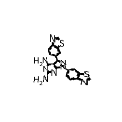 Nc1nc(N)c2c(-c3ccc4ncsc4c3)nn(-c3ccc4ncsc4c3)c2n1